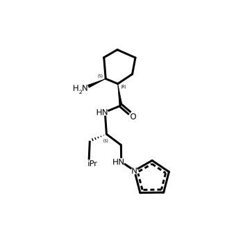 CC(C)C[C@@H](CNn1cccc1)NC(=O)[C@@H]1CCCC[C@@H]1N